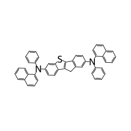 c1ccc(N(c2ccc3c(c2)Cc2c-3sc3cc(N(c4ccccc4)c4cccc5ccccc45)ccc23)c2cccc3ccccc23)cc1